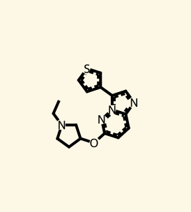 CCN1CCC(Oc2ccc3ncc(-c4ccsc4)n3n2)C1